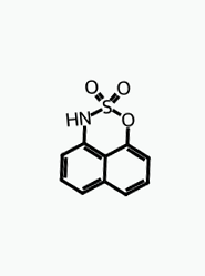 O=S1(=O)Nc2cccc3cccc(c23)O1